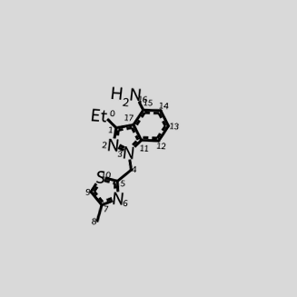 CCc1nn(Cc2nc(C)cs2)c2cccc(N)c12